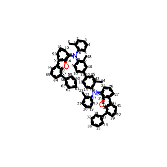 Cc1ccccc1N(c1ccc(-c2ccc(N(c3ccccc3C)c3cccc4c3oc3c(-c5ccccc5)cccc34)c(C)c2)cc1C)c1cccc2c1oc1c(-c3ccccc3)cccc12